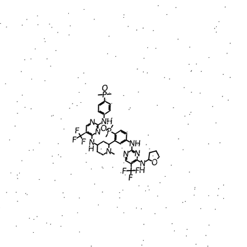 CN1CCC(Nc2nc(Nc3ccc(P(C)(C)=O)cc3)ncc2C(F)(F)F)CC1c1cc(Nc2ncc(C(F)(F)F)c(NC3CCCO3)n2)ccc1P(C)(C)=O